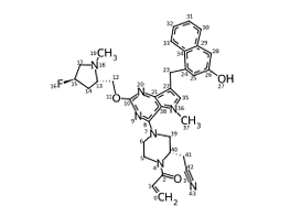 C=CC(=O)N1CCN(c2nc(OC[C@@H]3C[C@@H](F)CN3C)nc3c(Cc4cc(O)cc5ccccc45)cn(C)c23)C[C@@H]1CC#N